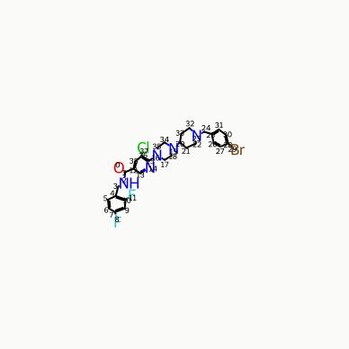 O=C(NCc1ccc(F)cc1F)c1cnc(N2CCN(C3CCN(Cc4ccc(Br)cc4)CC3)CC2)c(Cl)c1